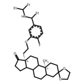 CCC(CC)NC(CC)c1ccc(F)c(OCC[C@]23CCC4C(CCC5CC6(CC[C@@]54C)OCCO6)C2CCC3=O)c1